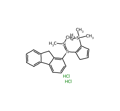 C[Si](C)=[Ti]([C]1=C([Si](C)(C)C)C=CC1)[c]1cccc2c1Cc1ccccc1-2.Cl.Cl